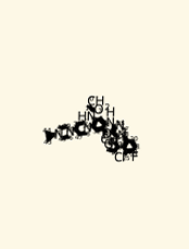 C=CC(=O)Nc1cc(Nc2cc(N3OCC[C@H]3c3c(F)ccc(F)c3Cl)ncn2)c(OC)cc1N1CCC(N2CCN(C3CC3)CC2)CC1